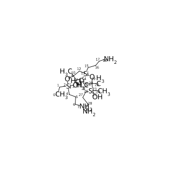 CC[Si](C)(CCCN)OC(C)(C)C[Si](C)(CCCN)OC(C)(C)[Si](C)(O)CCCN